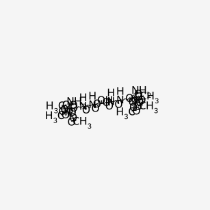 CC(=O)OC[C@H]1O[C@@H](OCCCNC(=O)CCNC(=O)OCC(O)COC(=O)NCCC(=O)NCCCO[C@@H]2O[C@H](COC(C)=O)[C@H](OC(C)=O)[C@H](OC(C)=O)[C@H]2CC(N)=O)[C@H](CC(N)=O)[C@@H](OC(C)=O)[C@H]1OC(C)=O